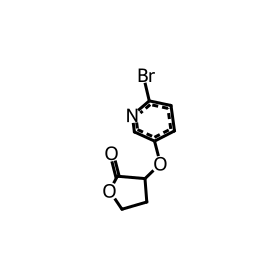 O=C1OCCC1Oc1ccc(Br)nc1